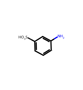 Nc1[c]ccc(S(=O)(=O)O)c1